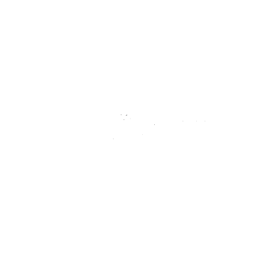 O=C([O-])CCCCCCCC(=O)[O-].[Mg+2]